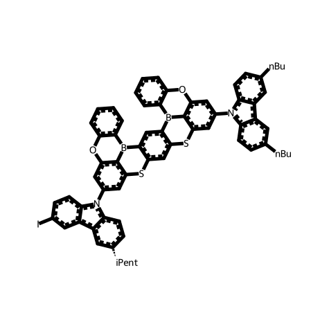 CCCCc1ccc2c(c1)c1cc(CCCC)ccc1n2-c1cc2c3c(c1)Sc1cc4c(cc1B3c1ccccc1O2)B1c2ccccc2Oc2cc(-n3c5ccc(I)cc5c5cc([C@@H](C)CCC)ccc53)cc(c21)S4